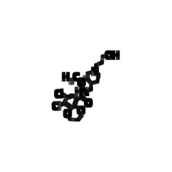 CO[C@@H]1CN(CCCO)CCC1CNC(=O)c1cc(Cl)c(Cl)c2c1OCCCO2